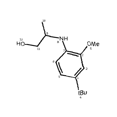 COc1cc(C(C)(C)C)ccc1NC(C)CO